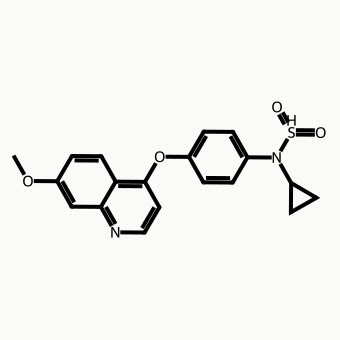 COc1ccc2c(Oc3ccc(N(C4CC4)[SH](=O)=O)cc3)ccnc2c1